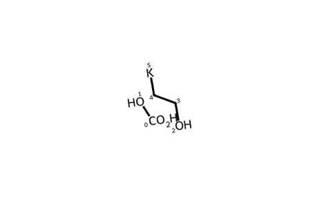 O=C(O)O.OC[CH2][K]